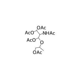 CC(=O)NC(C(OC(C)=O)OC(C)=O)C(OC(C)=O)OC(C)COC(C)=O